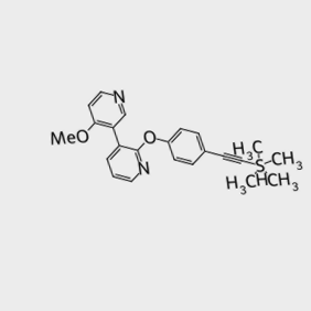 COc1ccncc1-c1cccnc1Oc1ccc(C#C[SH](C)(C)(C)C)cc1